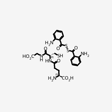 N[C@@H](CCC(=O)N[C@@H](CS)C(=O)NCC(=O)O)C(=O)O.Nc1ccccc1C(=O)SSC(=O)c1ccccc1N